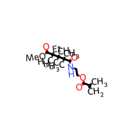 C=C(C)C(=O)OCCNC(=O)C(C)(C)C(C)(C)C(C)(CC)C(=O)OC